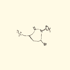 CC1CC(Br)N(C)N1